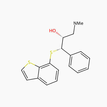 CNC[C@@H](O)[C@@H](Sc1cccc2ccsc12)c1ccccc1